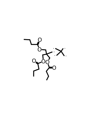 [CH2]C(COC(=O)CCC)(COC(=O)CCC)COC(=O)CCC.[CH2]C([CH2])([CH2])[CH2]